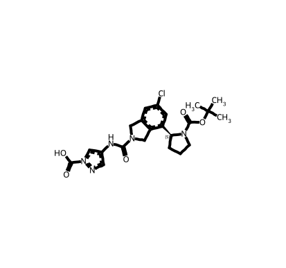 CC(C)(C)OC(=O)N1CCC[C@H]1c1cc(Cl)cc2c1CN(C(=O)Nc1cnn(C(=O)O)c1)C2